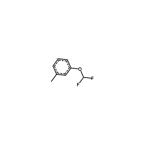 Cc1c[c]cc(OC(F)F)c1